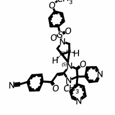 COc1ccc(S(=O)(=O)N2C[C@@H]3[C@H](C2)[C@H]3N2C(=O)C(c3ccncc3)(c3ccncc3)N(C)C2=CC(=O)c2ccc(C#N)cc2)cc1